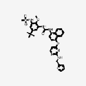 COc1c(NC(=O)Nc2ccc(Oc3ccnc(NCc4cccs4)n3)c3ccccc23)cc(C(C)(C)C)cc1NS(C)(=O)=O